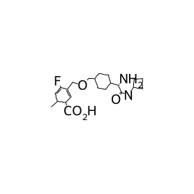 CC1C=C(F)C(COCC2CCC([C@H](N)C(=O)N(C)C3CCC3)CC2)=CC1C(=O)O